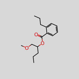 CCCc1ccccc1C(=O)OC(CCC)COC